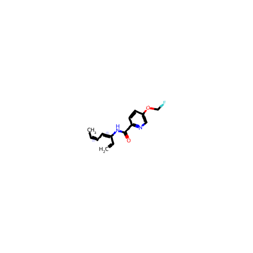 C=C/C(=C\C=C/C)NC(=O)c1ccc(OCF)cn1